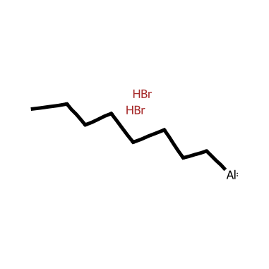 Br.Br.CCCCCCC[CH2][Al]